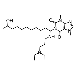 CCN(CC)CCCNC(CCCCCCCCC(C)O)n1c(=O)c2c(ncn2C)n(C)c1=O